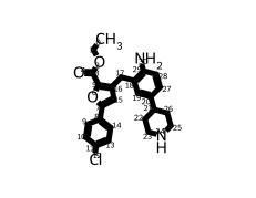 CCOC(=O)c1oc(-c2ccc(Cl)cc2)cc1Cc1cc(C2CCNCC2)ccc1N